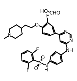 CN1CCC(CCOc2ccc(-c3cc(Nc4ccc(NS(=O)(=O)c5c(F)cccc5F)cc4)ncn3)cc2F)CC1.O=CO